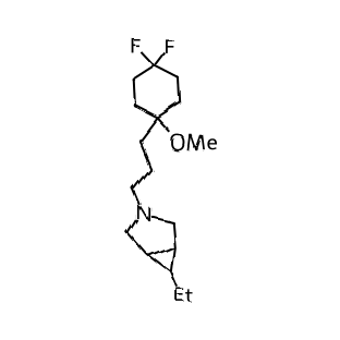 CCC1C2CN(CCCC3(OC)CCC(F)(F)CC3)CC12